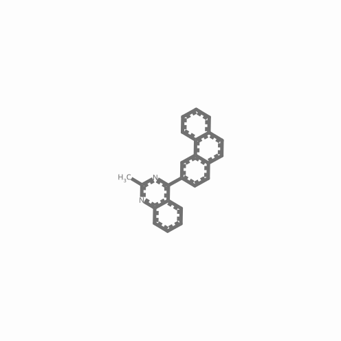 Cc1nc(-c2ccc3ccc4ccccc4c3c2)c2ccccc2n1